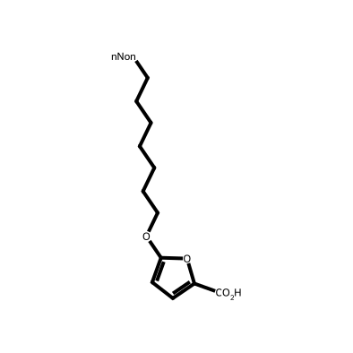 CCCCCCCCCCCCCCCCOc1ccc(C(=O)O)o1